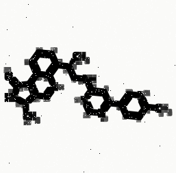 Cc1ccc(-c2cc(NC[C@@H](C)c3cccc4c3ncc3c4c(=O)[nH]n3C)ncn2)cn1